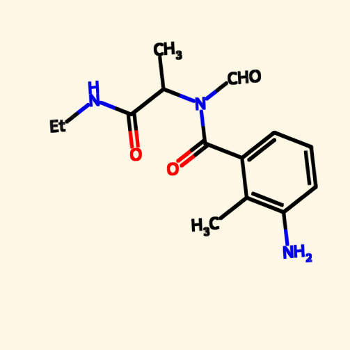 CCNC(=O)C(C)N(C=O)C(=O)c1cccc(N)c1C